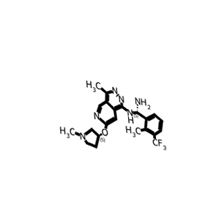 Cc1c([C@@H](N)Nc2nnc(C)c3cnc(O[C@H]4CCN(C)C4)cc23)cccc1C(F)(F)F